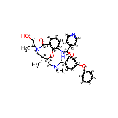 CC(CO)N1C[C@@H](C)[C@@H](CN(C)Cc2ccc(Oc3ccccc3)cc2)Oc2c(NC(=O)c3ccncc3)cccc2C1=O